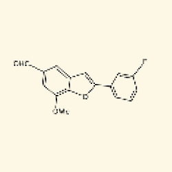 COc1cc(C=O)cc2cc(-c3cccc(F)c3)oc12